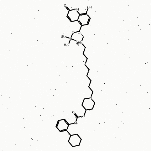 CC(C)(C)[Si](C)(C)O[C@@H](CNCCCCCCCCCN1CCC(OC(=O)Nc2ccccc2C2CCCCC2)CC1)c1ccc(O)c2[nH]c(=O)ccc12